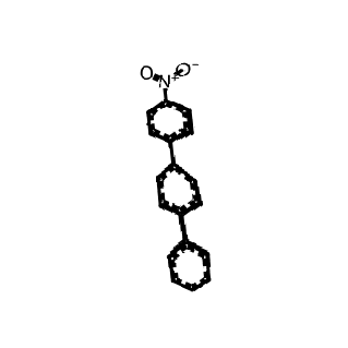 O=[N+]([O-])c1ccc(-c2ccc(-c3ccccc3)cc2)cc1